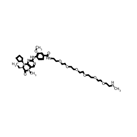 CC[C@@H]1C(=O)N(C)c2cnc(Nc3ccc(C(=O)NCCOCCOCCOCCOCCOCCOCCNC)cc3OC)nc2N1C1CCCC1